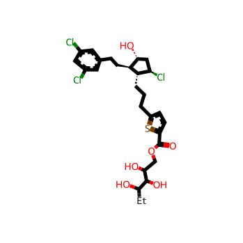 CCC(O)C(O)C(O)COC(=O)c1ccc(CCC[C@@H]2[C@@H](CCc3cc(Cl)cc(Cl)c3)[C@H](O)C[C@H]2Cl)s1